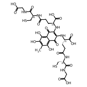 Cc1c(O)c(O)c2c(c1O)C(=O)C(N[C@@H](CCC(=O)N[C@@H](CS)C(=O)NCC(=O)O)C(=O)O)=C(N[C@@H](CCC(=O)N[C@@H](CS)C(=O)NCC(=O)O)C(=O)O)C2=O